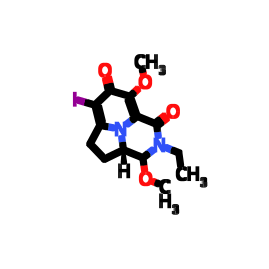 CCN1C(=O)c2c(OC)c(=O)c(I)c3n2[C@@H](CC3)C1OC